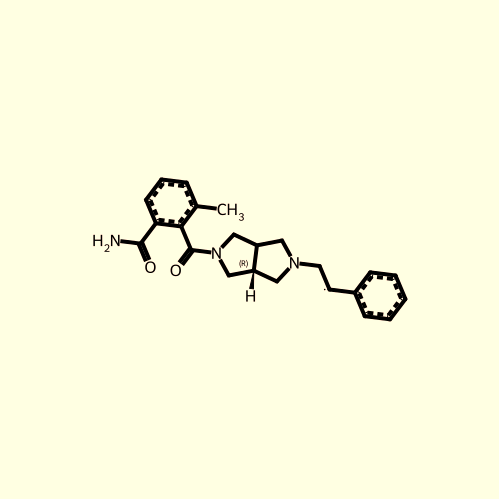 Cc1cccc(C(N)=O)c1C(=O)N1CC2CN(C[CH]c3ccccc3)C[C@@H]2C1